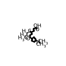 COC(c1ccc(N(C)C)cc1)[C@H](C)/C=C(C)/C=C/C(=O)O